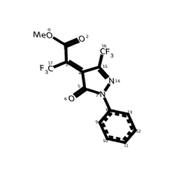 COC(=O)/C(=C1/C(=O)N(c2ccccc2)N=C1C(F)(F)F)C(F)(F)F